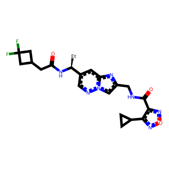 CC[C@H](NC(=O)CC1CC(F)(F)C1)c1cnn2cc(CNC(=O)c3nonc3C3CC3)nc2c1